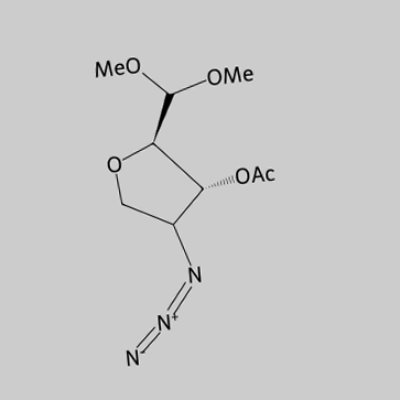 COC(OC)[C@@H]1OCC(N=[N+]=[N-])[C@H]1OC(C)=O